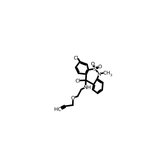 C#CCOCCNC1(Cl)c2ccccc2N(C)S(=O)(=O)c2cc(Cl)ccc21